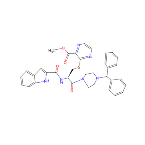 COC(=O)c1nccnc1SC[C@H](NC(=O)c1cc2ccccc2[nH]1)C(=O)N1CCN(C(c2ccccc2)c2ccccc2)CC1